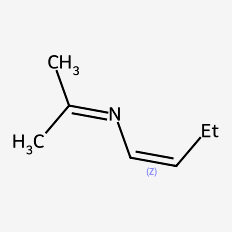 CC/C=C\N=C(C)C